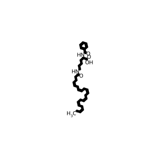 CC/C=C\C/C=C\C/C=C\C/C=C\C/C=C\C/C=C\CCC(=O)NCCCCC(NC(=O)c1ccccc1)C(=O)O